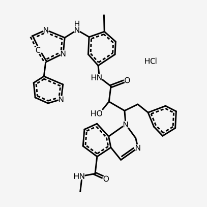 CNC(=O)c1cccc2c1C=NCN2C(Cc1ccccc1)C(O)C(=O)Nc1ccc(C)c(Nc2nccc(-c3cccnc3)n2)c1.Cl